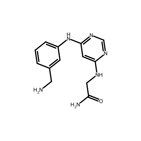 NCc1cccc(Nc2cc(NCC(N)=O)ncn2)c1